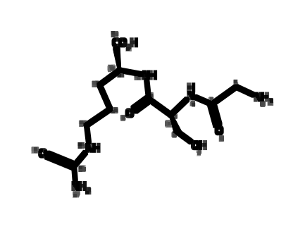 NCC(=O)N[C@@H](CO)C(=O)N[C@@H](CCCNC(N)=O)C(=O)O